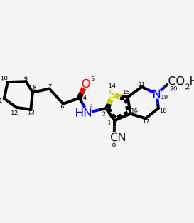 N#Cc1c(NC(=O)CCC2CCCCC2)sc2c1CCN(C(=O)O)C2